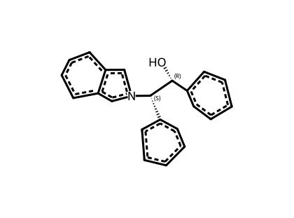 O[C@H](c1ccccc1)[C@H](c1ccccc1)n1cc2ccccc2c1